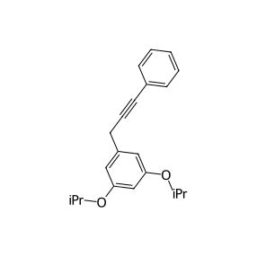 CC(C)Oc1cc(CC#Cc2ccccc2)cc(OC(C)C)c1